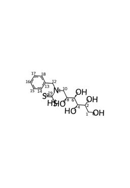 OCC(O)[C@@H](O)[C@H](O)[C@@H](O)CN(Cc1ccccc1)C(=S)S